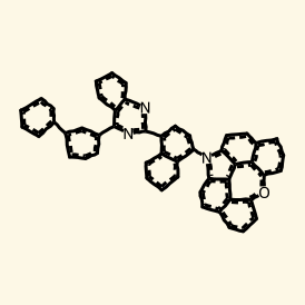 c1ccc(-c2cccc(-c3nc(-c4ccc(-n5c6ccc7cccc8oc9cccc%10ccc5c(c%109)c6c78)c5ccccc45)nc4ccccc34)c2)cc1